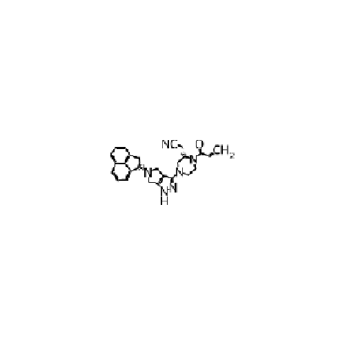 C=CC(=O)N1CCN(c2n[nH]c3c2CN([C@H]2Cc4cccc5cccc2c45)C3)C[C@@H]1CC#N